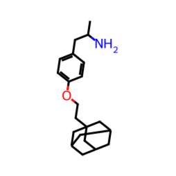 CC(N)Cc1ccc(OCCC23CC4CC(CC(C4)C2)C3)cc1